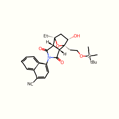 CC[C@]12C[C@H](O)[C@](CCO[Si](C)(C)C(C)(C)C)(O1)[C@@H]1C(=O)N(c3ccc(C#N)c4ccccc34)C(=O)[C@@H]12